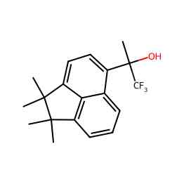 CC1(C)c2cccc3c(C(C)(O)C(F)(F)F)ccc(c23)C1(C)C